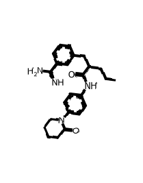 CCCC(Cc1cccc(C(=N)N)c1)C(=O)Nc1ccc(N2CCCCC2=O)cc1